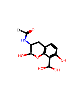 CCC(=O)N[C@H]1Cc2ccc(O)c(C(O)O)c2OB1O